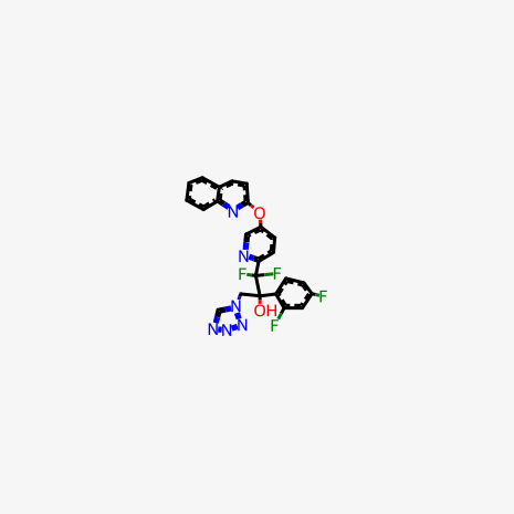 OC(Cn1cnnn1)(c1ccc(F)cc1F)C(F)(F)c1ccc(Oc2ccc3ccccc3n2)cn1